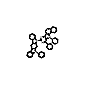 c1ccc(-c2nc(-n3c4ccccc4c4cc5c6ccccc6n(-c6ccccc6)c5cc43)nc3c4ccc5ccccc5c4n(-c4ccccc4)c23)cc1